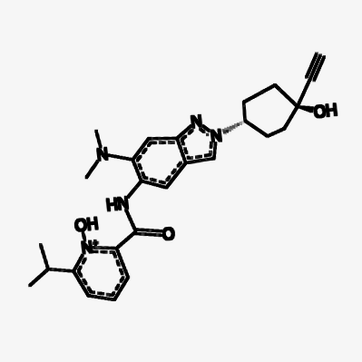 C#C[C@]1(O)CC[C@H](n2cc3cc(NC(=O)c4cccc(C(C)C)[n+]4O)c(N(C)C)cc3n2)CC1